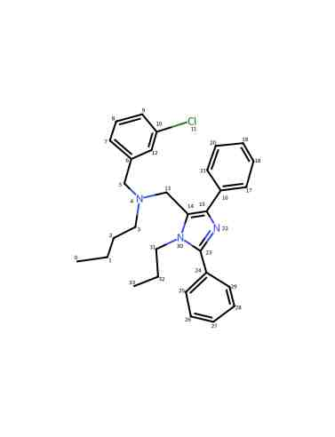 CCCCN(Cc1cccc(Cl)c1)Cc1c(-c2ccccc2)nc(-c2ccccc2)n1CCC